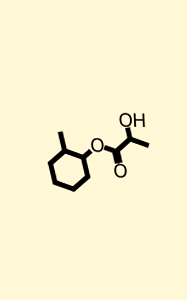 CC(O)C(=O)OC1CCCCC1C